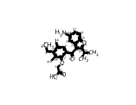 CCc1c(I)cc(C(=O)c2c(C(C)C)oc3ccc(N)cc23)c(OCC(=O)O)c1I